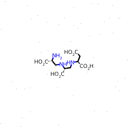 N[C@H](CN[C@H](CN[C@@H](CC(=O)O)C(=O)O)C(=O)O)C(=O)O